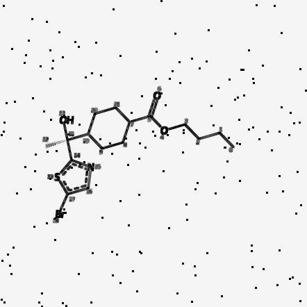 CCCCOC(=O)C1CCC([C@](C)(O)c2ncc(Br)s2)CC1